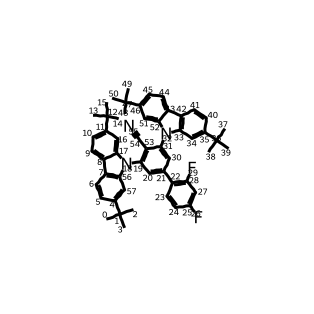 CC(C)(C)c1ccc2c3ccc(C(C)(C)C)cc3n(-c3cc(-c4ccc(F)cc4F)cc(-n4c5cc(C(C)(C)C)ccc5c5ccc(C(C)(C)C)cc54)c3C#N)c2c1